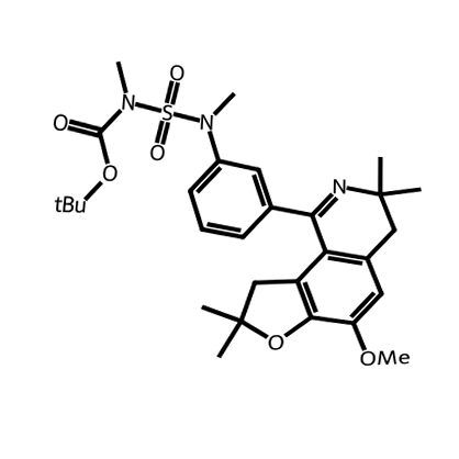 COc1cc2c(c3c1OC(C)(C)C3)C(c1cccc(N(C)S(=O)(=O)N(C)C(=O)OC(C)(C)C)c1)=NC(C)(C)C2